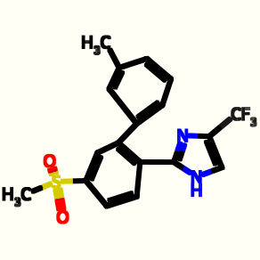 Cc1cccc(-c2cc(S(C)(=O)=O)ccc2-c2nc(C(F)(F)F)c[nH]2)c1